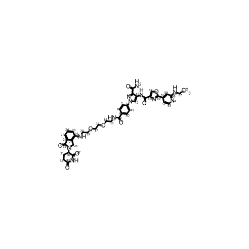 NC(=O)c1nn(-c2ccc(C(=O)NCCOCCOCCNc3cccc4c3CN(C3CCC(=O)NC3=O)C4=O)cc2)cc1NC(=O)c1coc(-c2ccnc(NCC(F)(F)F)c2)n1